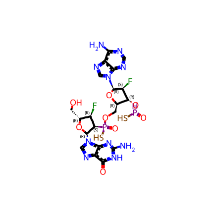 Nc1nc2c(ncn2[C@@H]2O[C@H](CO)[C@@H](F)[C@H]2P(=O)(S)OC[C@H]2O[C@@H](n3cnc4c(N)ncnc43)[C@@H](F)[C@@H]2O[PH](=O)S)c(=O)[nH]1